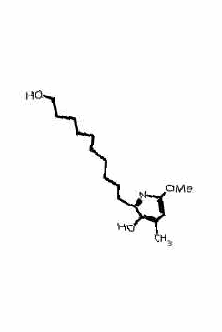 COc1cc(C)c(O)c(CCCCCCCCCCO)n1